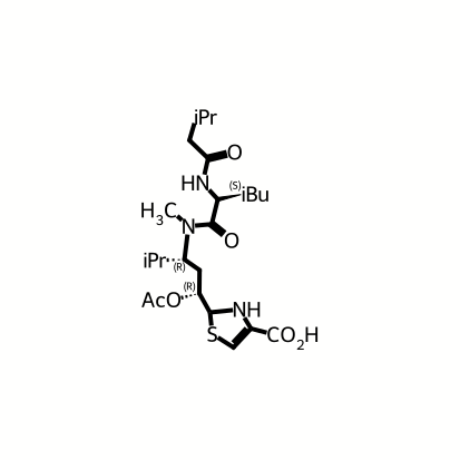 CC[C@H](C)C(NC(=O)CC(C)C)C(=O)N(C)[C@H](C[C@@H](OC(C)=O)C1NC(C(=O)O)=CS1)C(C)C